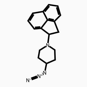 [N-]=[N+]=NC1CCN(C2Cc3cccc4cccc2c34)CC1